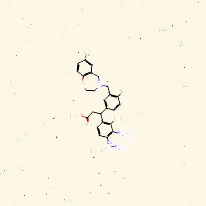 Cc1ccc(C(CC(=O)O)c2ccc(N(C)N)c(N)c2C)cc1CN1CCOc2ccc(Cl)cc2C1